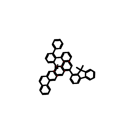 CC1(C)c2ccccc2-c2cccc(-c3cccc(N(c4ccc5c(ccc6ccccc65)c4)c4cccc(-c5ccccc5)c4-c4ccccc4-c4ccccc4)c3)c21